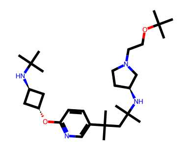 CC(C)(CC(C)(C)c1ccc(O[C@H]2C[C@H](NC(C)(C)C)C2)nc1)N[C@H]1CCN(CCOC(C)(C)C)C1